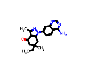 CCC1(C)CC(=O)c2c(C)nn(-c3ccc4c(N)ncnc4c3)c2C1